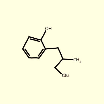 CC(Cc1ccccc1O)CC(C)(C)C